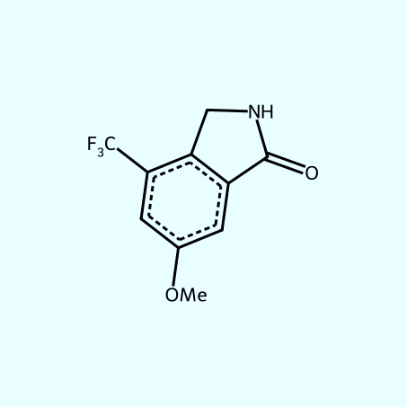 COc1cc2c(c(C(F)(F)F)c1)CNC2=O